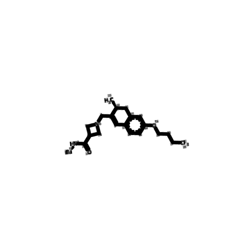 CC[C@@H](C)NC(=O)C1CN(CC2=Cc3ccc(OCCCC(F)(F)F)cc3C[C@@H]2C)C1